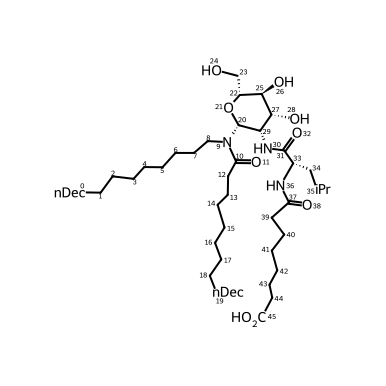 CCCCCCCCCCCCCCCCCCN(C(=O)CCCCCCCCCCCCCCCCC)[C@@H]1O[C@H](CO)[C@@H](O)[C@H](O)[C@@H]1NC(=O)[C@H](CC(C)C)NC(=O)CCCCCCC(=O)O